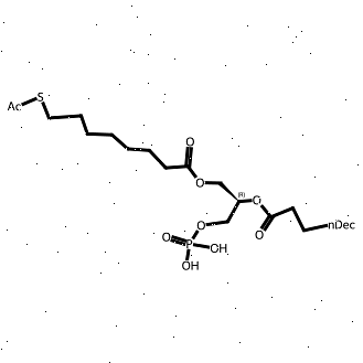 CCCCCCCCCCCCC(=O)O[C@H](COC(=O)CCCCCCCSC(C)=O)COP(=O)(O)O